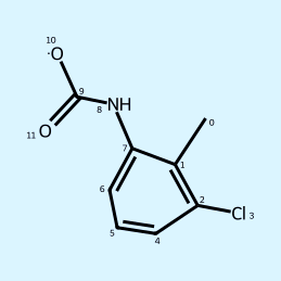 Cc1c(Cl)cccc1NC([O])=O